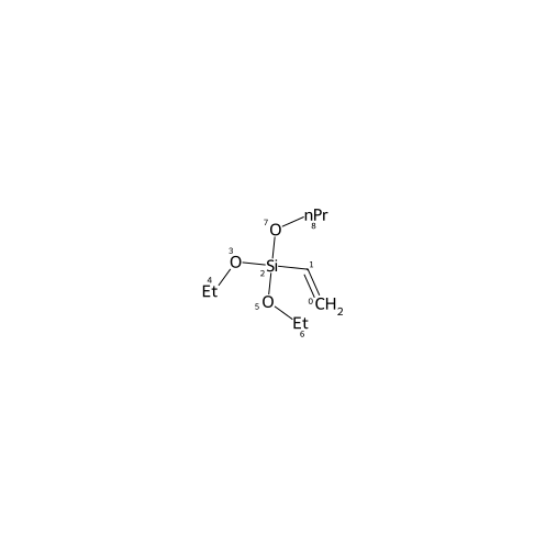 C=C[Si](OCC)(OCC)OCCC